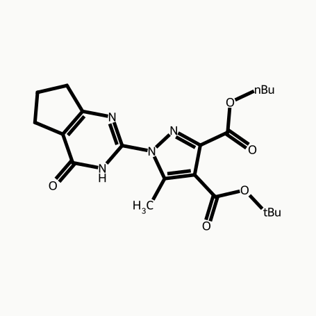 CCCCOC(=O)c1nn(-c2nc3c(c(=O)[nH]2)CCC3)c(C)c1C(=O)OC(C)(C)C